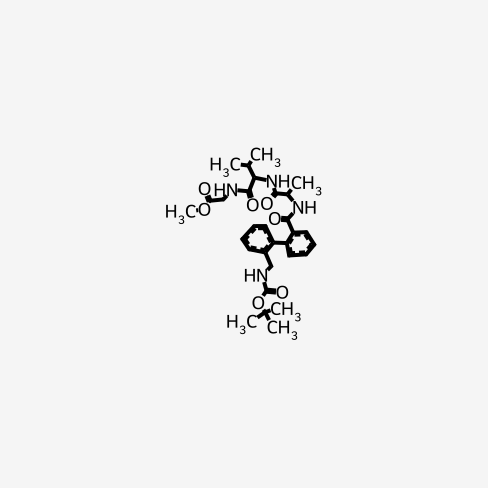 COC(=O)CNC(=O)C(NC(=O)C(C)NC(=O)c1ccccc1-c1ccccc1CNC(=O)OC(C)(C)C)C(C)C